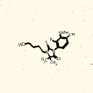 CSc1c(C#N)ccc(N2C(=O)C(C)(C)N(CCCCO)C2=S)c1F